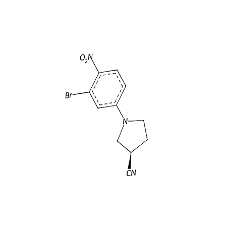 N#C[C@@H]1CCN(c2ccc([N+](=O)[O-])c(Br)c2)C1